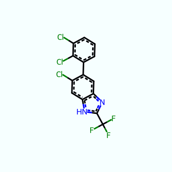 FC(F)(F)c1nc2cc(-c3cccc(Cl)c3Cl)c(Cl)cc2[nH]1